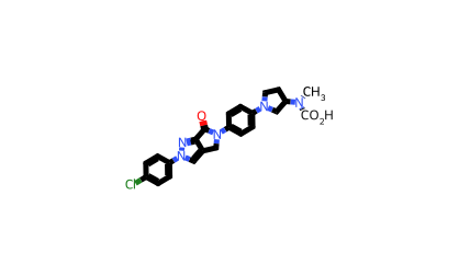 CN(C(=O)O)C1CCN(c2ccc(N3Cc4cn(-c5ccc(Cl)cc5)nc4C3=O)cc2)C1